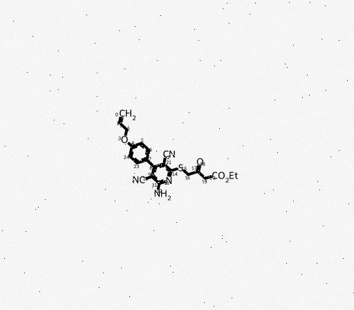 C=CCOc1ccc(-c2c(C#N)c(N)nc(SCC(=O)CC(=O)OCC)c2C#N)cc1